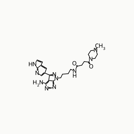 CN1CCN(C(=O)CCC(=O)NCCCCn2nc(-c3cnc4[nH]ccc4c3)c3c(N)ncnc32)CC1